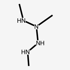 CNNN(C)NC